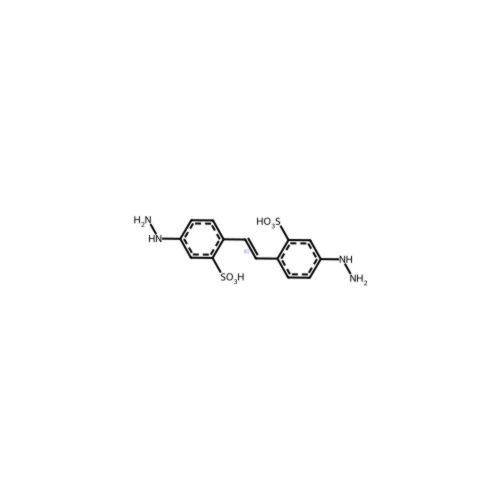 NNc1ccc(/C=C/c2ccc(NN)cc2S(=O)(=O)O)c(S(=O)(=O)O)c1